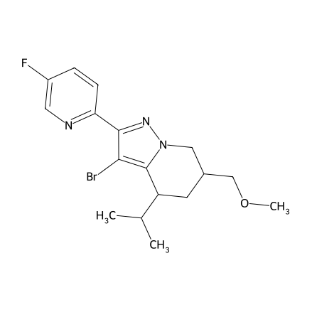 COCC1CC(C(C)C)c2c(Br)c(-c3ccc(F)cn3)nn2C1